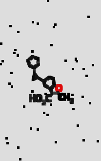 Cc1oc2ccc(C3CC3c3ccccc3)cc2c1C(=O)O